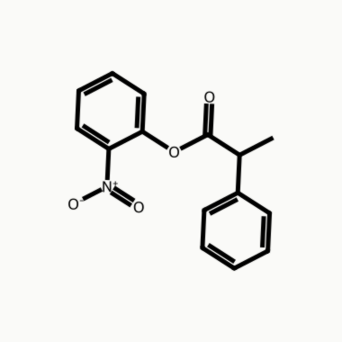 CC(C(=O)Oc1ccccc1[N+](=O)[O-])c1ccccc1